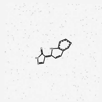 O=C1NN=C/C1=C1\C=Cc2ccccc2N1